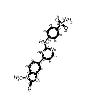 Cn1c(=O)oc2cc(-c3ccnc(Nc4ccc(S(N)(=O)=O)cc4)n3)ccc21